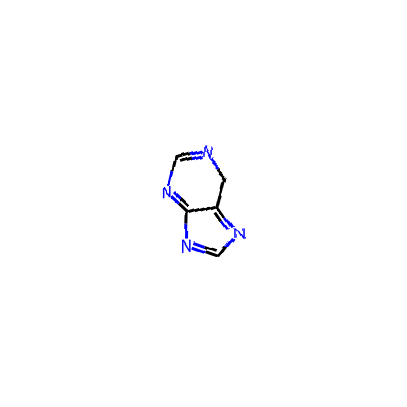 C1=NCC2=NC=NC2=N1